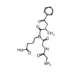 CC(SC(=O)c1ccccc1)C(=O)N(CCCC(=O)O)C(=O)CNC(=O)CN